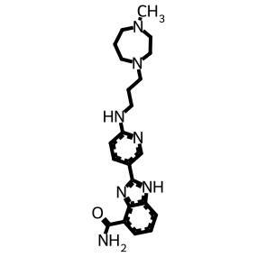 CN1CCCN(CCCNc2ccc(-c3nc4c(C(N)=O)cccc4[nH]3)cn2)CC1